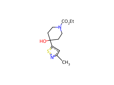 CCOC(=O)N1CCC(O)(c2cc(C)ns2)CC1